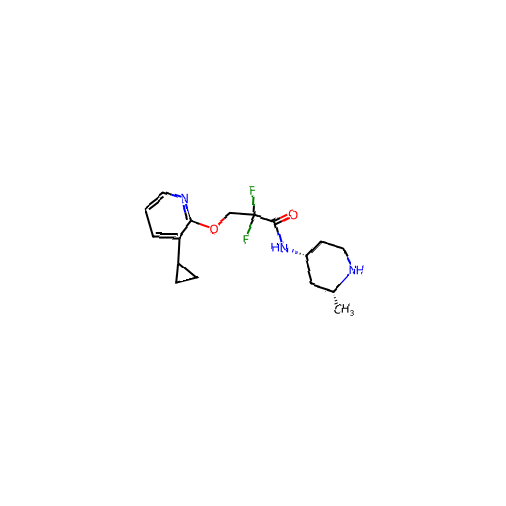 C[C@@H]1C[C@H](NC(=O)C(F)(F)COc2ncccc2C2CC2)CCN1